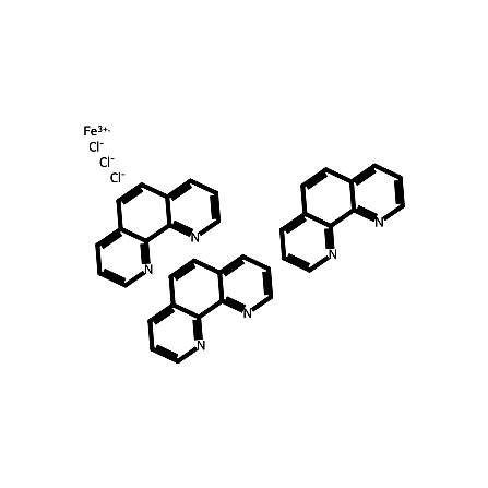 [Cl-].[Cl-].[Cl-].[Fe+3].c1cnc2c(c1)ccc1cccnc12.c1cnc2c(c1)ccc1cccnc12.c1cnc2c(c1)ccc1cccnc12